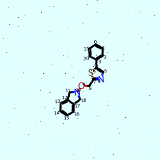 c1ccc(-c2cnc(CON3Cc4ccccc4C3)s2)cc1